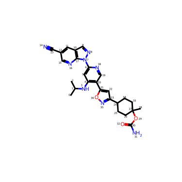 CC(C)Nc1cc(-n2ncc3cc(C#N)cnc32)ncc1-c1cc(C2CCC(C)(OC(N)=O)CC2)no1